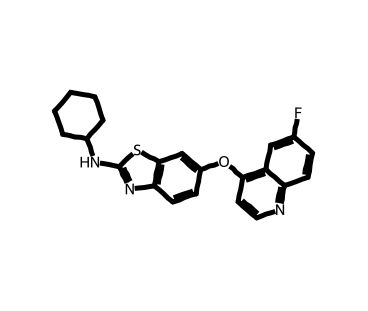 Fc1ccc2nccc(Oc3ccc4nc(NC5CCCCC5)sc4c3)c2c1